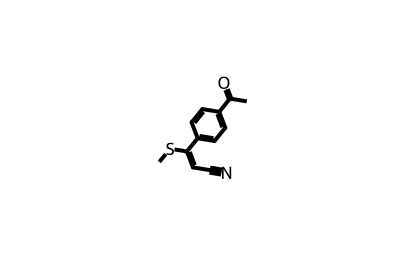 CS/C(=C/C#N)c1ccc(C(C)=O)cc1